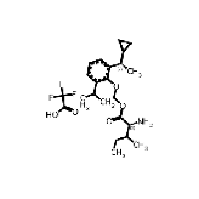 CCC(C)[C@H](N)C(=O)OCOc1c(C(C)C)cccc1[C@H](C)C1CC1.O=C(O)C(F)(F)F